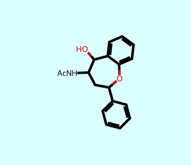 CC(=O)NC1CC(c2ccccc2)Oc2ccccc2C1O